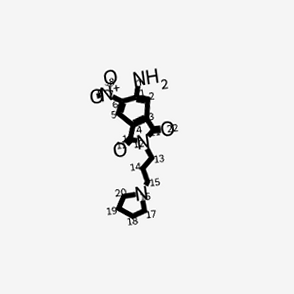 Nc1cc2c(cc1[N+](=O)[O-])C(=O)N(CCCN1CCCC1)C2=O